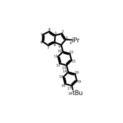 CC(C)C1=Cc2ccccc2C1c1ccc(-c2ccc(C(C)(C)C)cc2)cc1